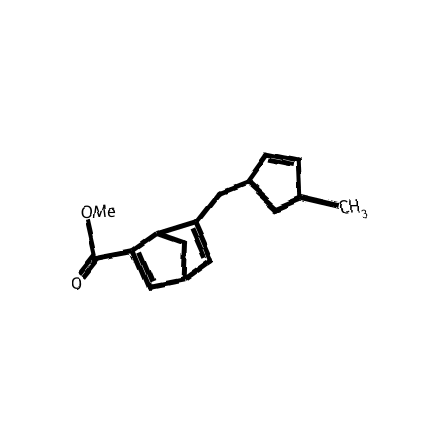 COC(=O)C1=CC2C=C(CC3C=CC(C)C3)C1C2